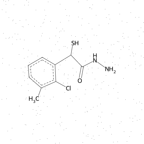 Cc1cccc(C(S)C(=O)NN)c1Cl